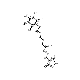 O=C(CCCCC(=O)Oc1c(F)c(F)c(F)c(F)c1F)NCCN1C(=O)CSC1=O